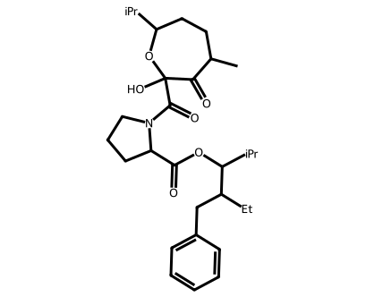 CCC(Cc1ccccc1)C(OC(=O)C1CCCN1C(=O)C1(O)OC(C(C)C)CCC(C)C1=O)C(C)C